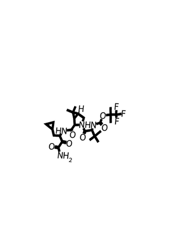 CC(C)(C)C(NC(=O)OC(C)(C)C(F)(F)F)C(=O)N1C[C@H]2C(C1C(=O)NC(CC1CC1)C(=O)C(N)=O)C2(C)C